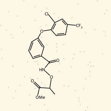 COC(=O)C(C)ONC(=O)c1cccc(Oc2ccc(C(F)(F)F)cc2Cl)c1